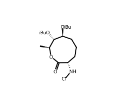 CC(C)CO[C@H]1[C@H](C)OC(=O)[C@@H](NCl)CCC[C@@H]1OCC(C)C